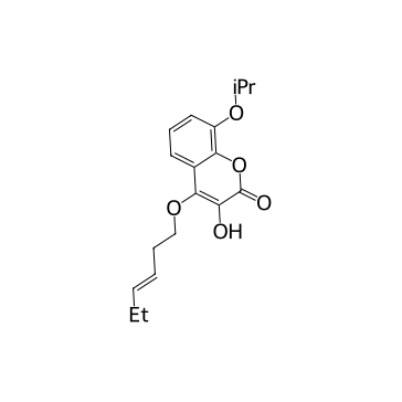 CCC=CCCOc1c(O)c(=O)oc2c(OC(C)C)cccc12